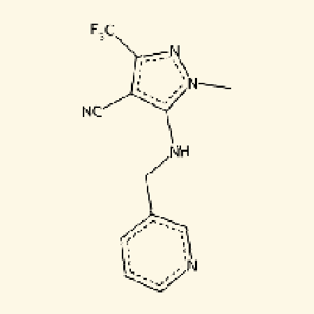 Cn1nc(C(F)(F)F)c(C#N)c1NCc1cccnc1